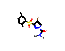 CCN(CC)C(=O)n1cc(Br)c(S(=O)(=O)c2cc(C)ccc2C)n1